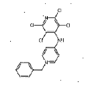 Clc1nc(Cl)c(Cl)c(Nc2cc[n+](Cc3ccccc3)cc2)c1Cl